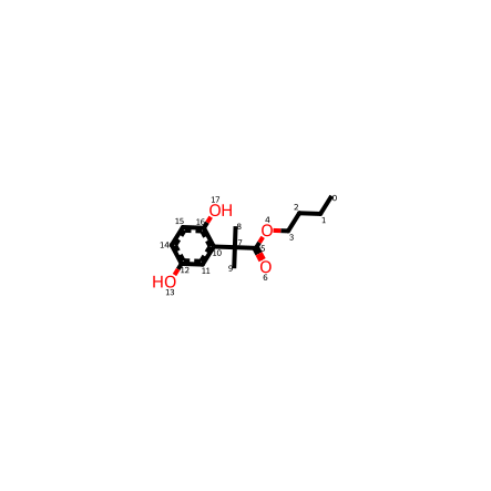 CCCCOC(=O)C(C)(C)c1cc(O)ccc1O